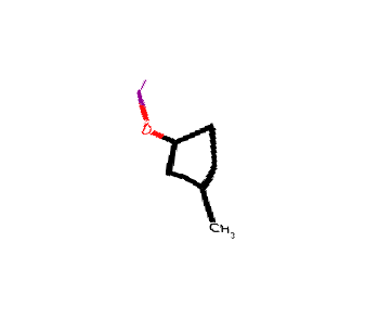 CC1CCC(OI)C1